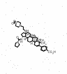 CC1(C)C(c2ccc(C(=O)O)cc2)=CC[C@]2(C)[C@H]3CC[C@@H]4[C@H]5[C@H](NC(=O)N6CCCC6)CC[C@]5(NCCN5CCS(=O)(=O)CC5)CC[C@@]4(C)[C@]3(C)CC[C@@H]12